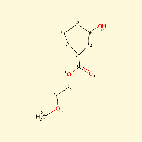 COCCOC(=O)C1CCCC(O)C1